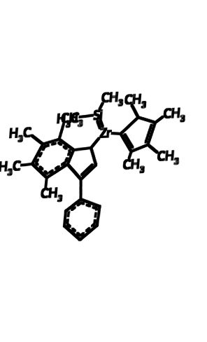 CC1=C(C)C(C)[C]([Zr]([CH]2C=C(c3ccccc3)c3c(C)c(C)c(C)c(C)c32)=[Si](C)C)=C1C